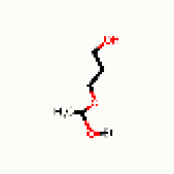 CCOC(C)OCCCO